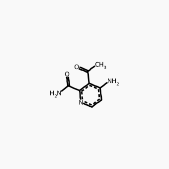 CC(=O)c1c(N)ccnc1C(N)=O